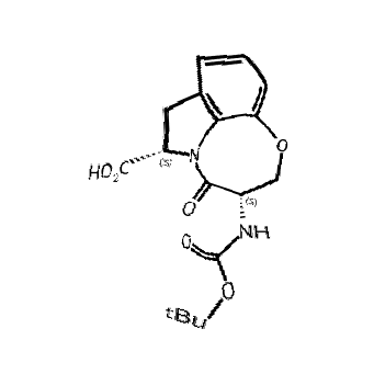 CC(C)(C)OC(=O)N[C@H]1COc2cccc3c2N(C1=O)[C@H](C(=O)O)C3